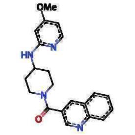 COc1ccnc(NC2CCN(C(=O)c3cnc4ccccc4c3)CC2)c1